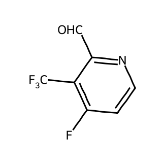 O=Cc1nccc(F)c1C(F)(F)F